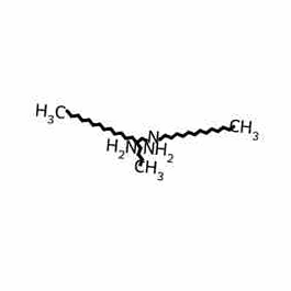 CCCCCCCCCCCCCCN=C(N)CC(N)(CCCC)CCCCCCCCCCCCCC